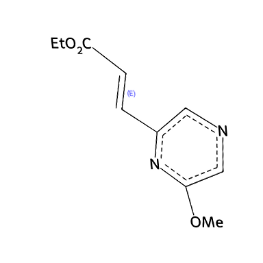 CCOC(=O)/C=C/c1cncc(OC)n1